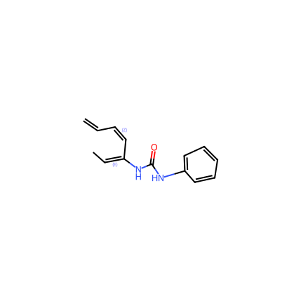 C=C/C=C\C(=C/C)NC(=O)Nc1ccccc1